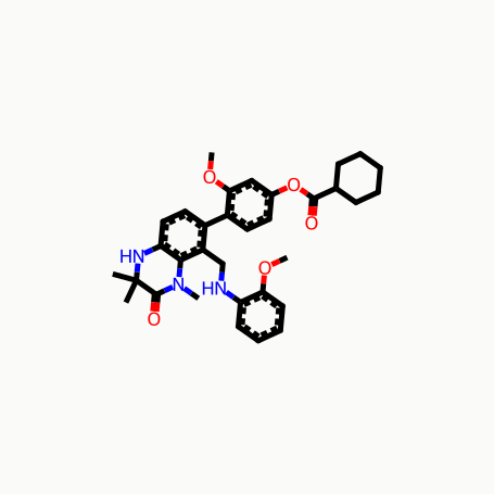 COc1ccccc1NCc1c(-c2ccc(OC(=O)C3CCCCC3)cc2OC)ccc2c1N(C)C(=O)C(C)(C)N2